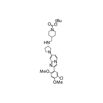 COc1cc(OC)c(-c2cn3ccc(N4CC[C@H](NCC5CCN(C(=O)OC(C)(C)C)CC5)C4)cc3n2)cc1Cl